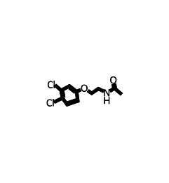 CC(=O)NCCOc1ccc(Cl)c(Cl)c1